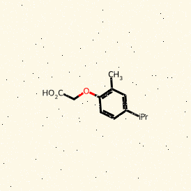 Cc1cc(C(C)C)ccc1OCC(=O)O